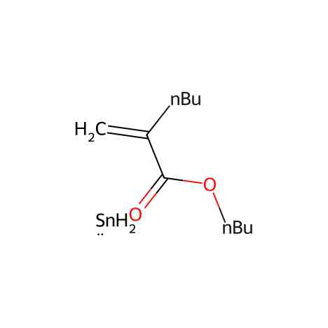 C=C(CCCC)C(=O)OCCCC.[SnH2]